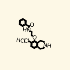 Cl.O=C(NCCOc1c(Cl)ccc2c1CCNCC2)c1ccccc1